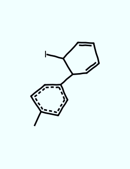 Cc1ccc(C2C=CC=CC2I)cc1